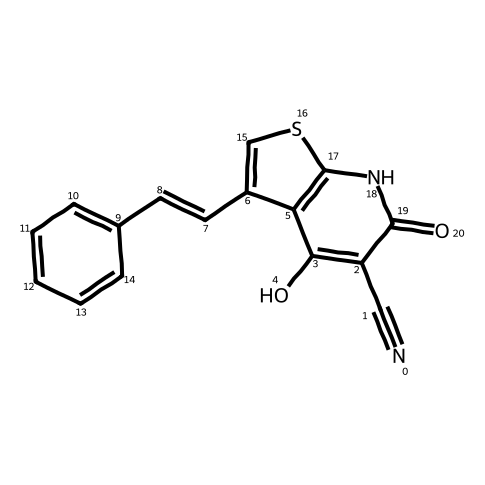 N#Cc1c(O)c2c(C=Cc3ccccc3)csc2[nH]c1=O